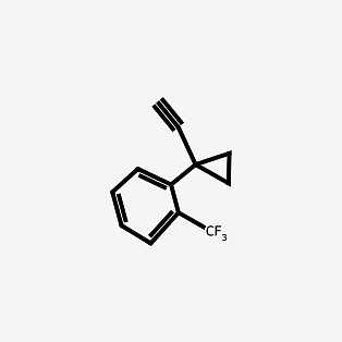 C#CC1(c2ccccc2C(F)(F)F)CC1